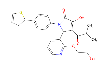 CC(C)C(=O)C1=C(O)C(=O)N(c2ccc(-c3cccs3)cc2)C1c1cccnc1OCCO